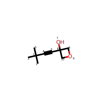 CC(C)(C)C#CC1(O)COC1